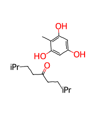 CC(C)CCC(=O)CCC(C)C.Cc1c(O)cc(O)cc1O